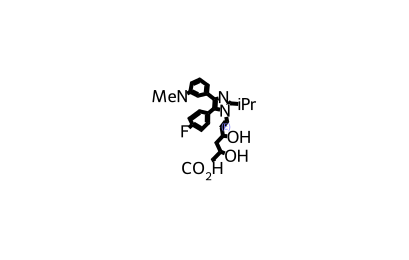 CNc1cccc(-c2nc(C(C)C)n(/C=C/C(O)CC(O)CC(=O)O)c2-c2ccc(F)cc2)c1